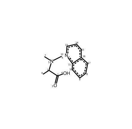 CC(C(=O)O)N(C)C.c1ccc2ncccc2c1